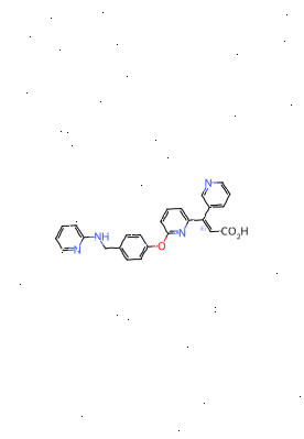 O=C(O)/C=C(\c1cccnc1)c1cccc(Oc2ccc(CNc3ccccn3)cc2)n1